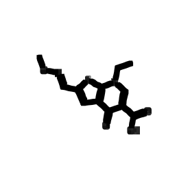 CCn1cc(C(=O)O)c(=O)c2cc(C=NOC)sc21